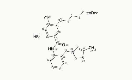 Br.CCCCCCCCCCCCCCOc1cc(C(=O)Nc2ccccc2CN2C=C(C)SC2)ccc1Cl